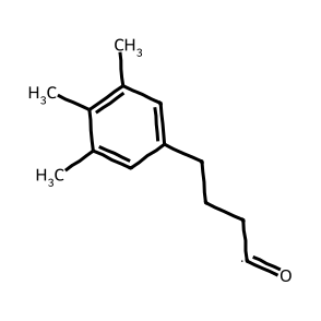 Cc1cc(CCC[C]=O)cc(C)c1C